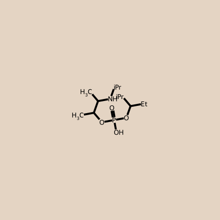 CCC(OP(=O)(O)OC(C)C(C)NC(C)C)C(C)C